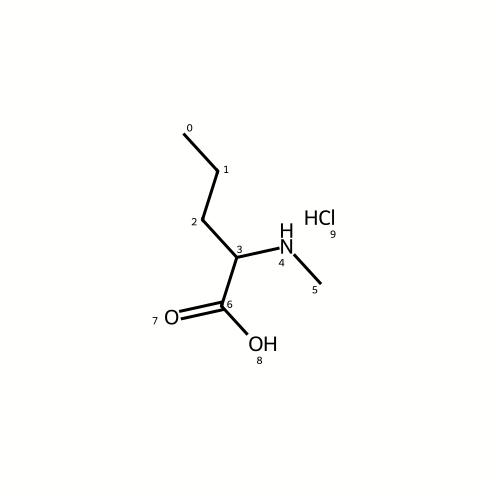 CCCC(NC)C(=O)O.Cl